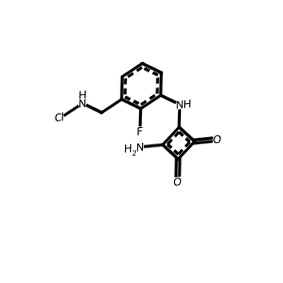 Nc1c(Nc2cccc(CNCl)c2F)c(=O)c1=O